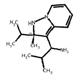 CC(C)C(N)C1=C2C=CC=CN2N[C@@]1(C)C(C)C